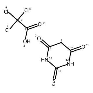 O=C(O)C(Cl)(Cl)Cl.O=C1CC(=O)NC(=S)N1